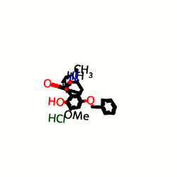 COc1cc(OCc2ccccc2)c2c(c1O)[C@]13CCN(C)[C@H](C2)[C@@H]1CCC(=O)C3.Cl